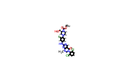 CN1CN(c2c(Cl)cccc2Cl)C(=O)c2cnc(Nc3ccc(N4CCN(C(=O)OC(C)(C)C)[C@H](CO)C4)c(F)c3)nc21